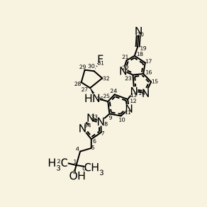 CC(C)(O)CCc1cn(-c2cnc(-n3ncc4cc(C#N)cnc43)cc2N[C@H]2CC[C@H](F)C2)nn1